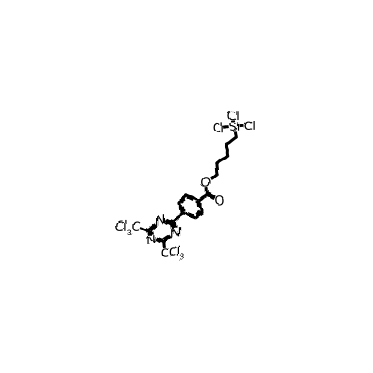 O=C(OCCCCC[Si](Cl)(Cl)Cl)c1ccc(-c2nc(C(Cl)(Cl)Cl)nc(C(Cl)(Cl)Cl)n2)cc1